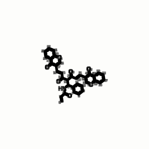 C=CC(=O)NC(c1ccccc1)C(C(=O)/C=C/c1coc2ccccc2c1=O)C(=O)/C=C/c1coc2ccccc2c1=O